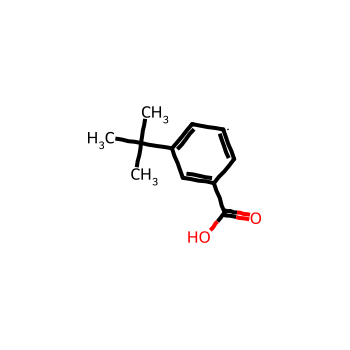 CC(C)(C)c1c[c]cc(C(=O)O)c1